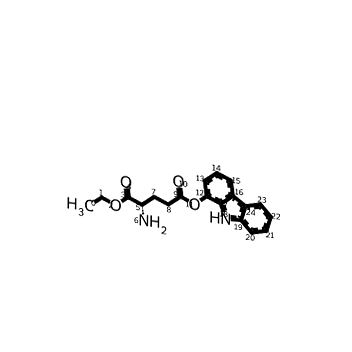 CCOC(=O)[C@@H](N)CCC(=O)Oc1cccc2c1[nH]c1ccccc12